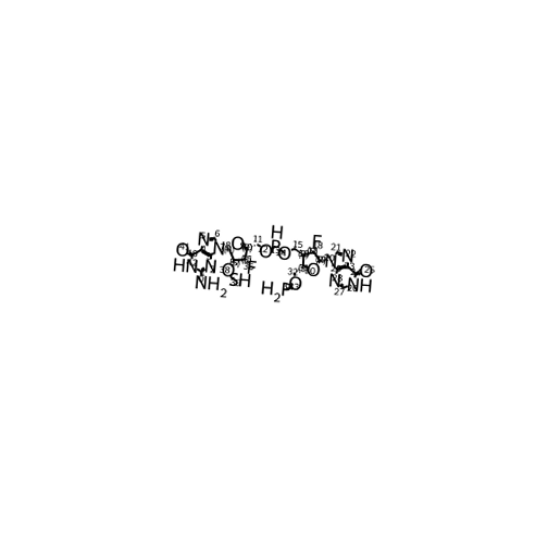 Nc1nc2c(ncn2[C@@H]2O[C@H](COPOC[C@H]3[C@H](F)[C@H](n4cnc5c(=O)[nH]cnc54)O[C@@H]3COP)[C@H](F)[C@H]2OS)c(=O)[nH]1